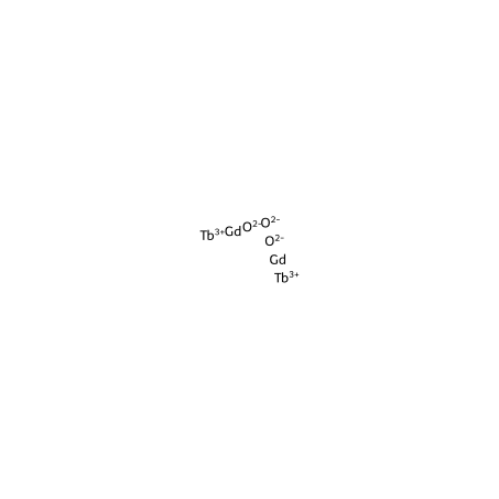 [Gd].[Gd].[O-2].[O-2].[O-2].[Tb+3].[Tb+3]